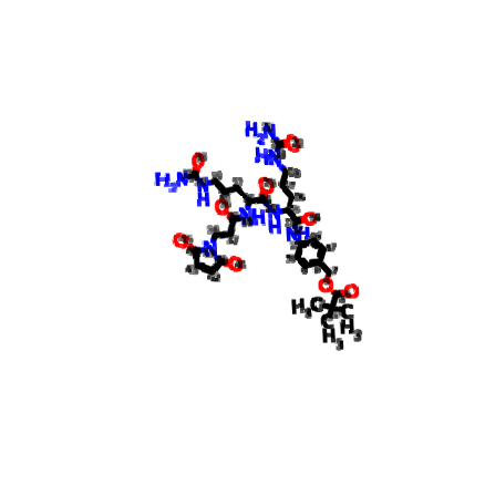 CC(C)(C)C(=O)OCc1ccc(NC(=O)[C@H](CCCNC(N)=O)NC(=O)[C@H](CCCNC(N)=O)NC(=O)CCN2C(=O)C=CC2=O)cc1